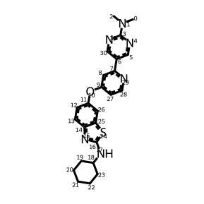 CN(C)c1ncc(-c2cc(Oc3ccc4nc(NC5CCCCC5)sc4c3)ccn2)cn1